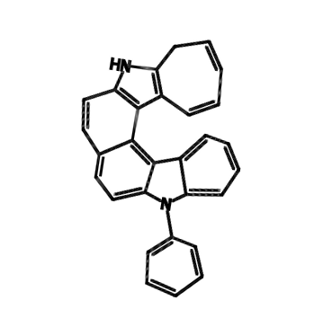 C1=CCc2[nH]c3ccc4ccc5c(c6ccccc6n5-c5ccccc5)c4c3c2C=C1